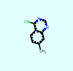 Cc1ccc2c(Cl)ncnc2c1